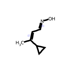 C/C(=C/C=N/O)C1CC1